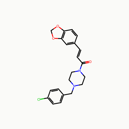 O=C(C=Cc1ccc2c(c1)OCO2)N1CCN(Cc2ccc(Cl)cc2)CC1